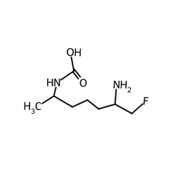 CC(CCCC(N)CF)NC(=O)O